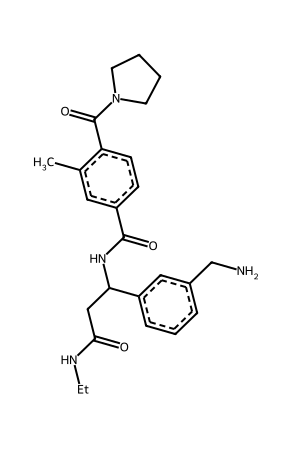 CCNC(=O)CC(NC(=O)c1ccc(C(=O)N2CCCC2)c(C)c1)c1cccc(CN)c1